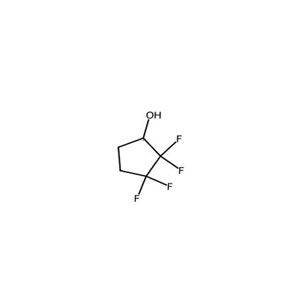 O[C]1CCC(F)(F)C1(F)F